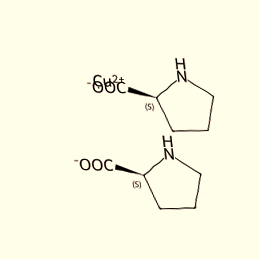 O=C([O-])[C@@H]1CCCN1.O=C([O-])[C@@H]1CCCN1.[Cu+2]